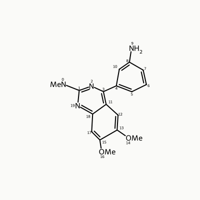 CNc1nc(-c2cccc(N)c2)c2cc(OC)c(OC)cc2n1